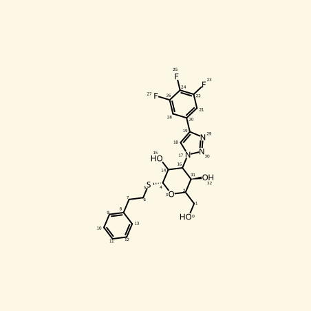 OCC1O[C@H](SCCc2ccccc2)C(O)C(n2cc(-c3cc(F)c(F)c(F)c3)nn2)[C@H]1O